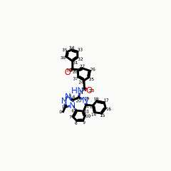 Cc1nnc2n1-c1ccccc1C(c1ccccc1)=NC2NC(=O)c1cccc(C(=O)c2ccccc2)c1